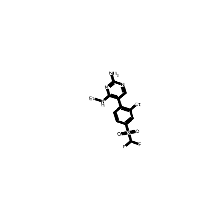 CCNc1nc(N)ncc1-c1ccc(S(=O)(=O)C(F)F)cc1CC